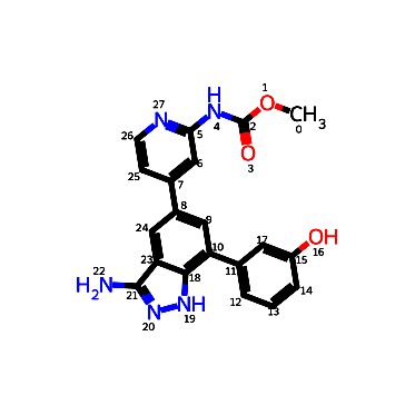 COC(=O)Nc1cc(-c2cc(-c3cccc(O)c3)c3[nH]nc(N)c3c2)ccn1